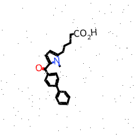 Cn1c(CCCCC(=O)O)ccc1C(=O)c1ccc(-c2ccccc2)cc1